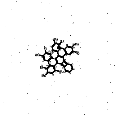 CCc1cc(-c2c(-c3cc(CC)c(C(C)CC)cc3C(C)CC)c(-c3cc(CC)c(C(C)CC)cc3C(C)CC)c3c(c2-c2cc(CC)c(C(C)CC)cc2C(C)CC)=c2ccccc2=3)c(C(C)CC)cc1C(C)CC